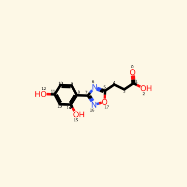 O=C(O)CCc1nc(-c2ccc(O)cc2O)no1